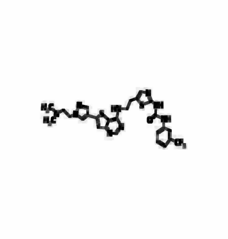 CN(C)CCn1cc(-c2cc3ncnc(NCCc4cnc(NC(=O)Nc5cccc(C(F)(F)F)c5)s4)c3s2)cn1